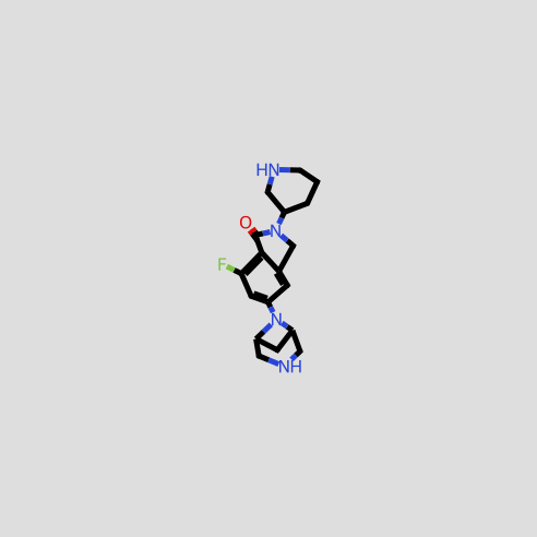 O=C1c2c(F)cc(N3C4CNCC3C4)cc2CN1C1CCCNC1